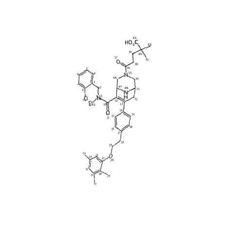 CCN(Cc1ccccc1Cl)C(=O)C1=C(c2ccc(CCOc3cc(C)cc(C)c3C)cc2)CC2CN(C(=O)CCC(C)(C)C(=O)O)CC1N2